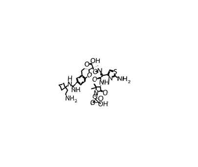 CC1(C)[C@H](NC(=O)/C(=N\O[C@](C)(C(=O)O)[C@H]2CCc3cc(C(=N)NC4(CCN)CCC4)ccc3O2)c2csc(N)n2)C(=O)N1OS(=O)(=O)O